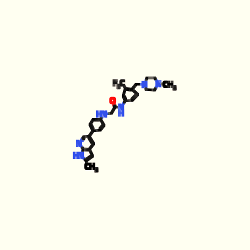 Cc1cc2cc(-c3ccc(NCC(=O)Nc4ccc(CN5CCN(C)CC5)c(C(F)(F)F)c4)cc3)cnc2[nH]1